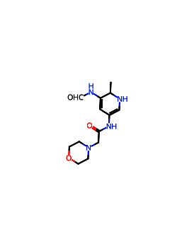 CC1NC=C(NC(=O)CN2CCOCC2)C=C1NC=O